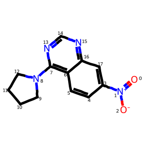 O=[N+]([O-])c1ccc2c(N3CCCC3)ncnc2c1